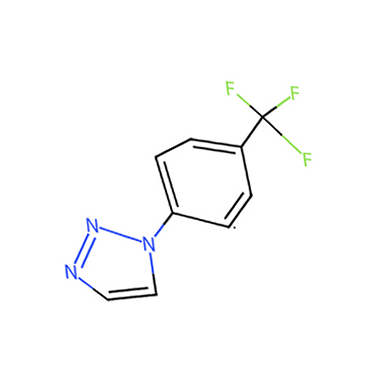 FC(F)(F)c1c[c]c(-n2ccnn2)cc1